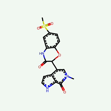 Cn1cc(C2Oc3ccc(S(C)(=O)=O)cc3NC2=O)c2cc[nH]c2c1=O